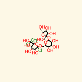 OC[C@H]1O[C@@](CO)(OC2O[C@H](COC3(Cl)O[C@](Cl)(C(O)(Cl)Cl)[C@H](O)[C@H](O)[C@H]3O)[C@@H](O)[C@H](O)[C@H]2O)[C@@H](O)[C@@H]1O